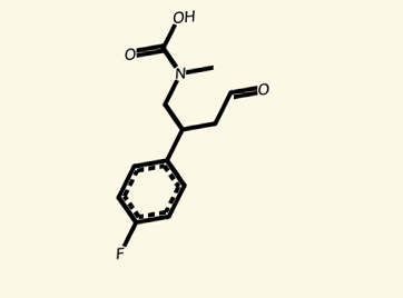 CN(CC(CC=O)c1ccc(F)cc1)C(=O)O